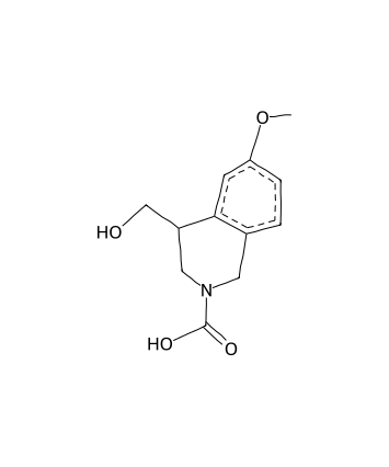 COc1ccc2c(c1)C(CO)CN(C(=O)O)C2